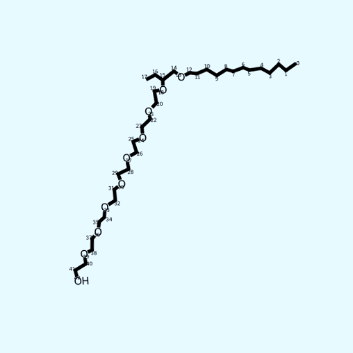 CCCCCCCCCCCCCOCC(CC)OCCOCCOCCOCCOCCOCCOCCOCCO